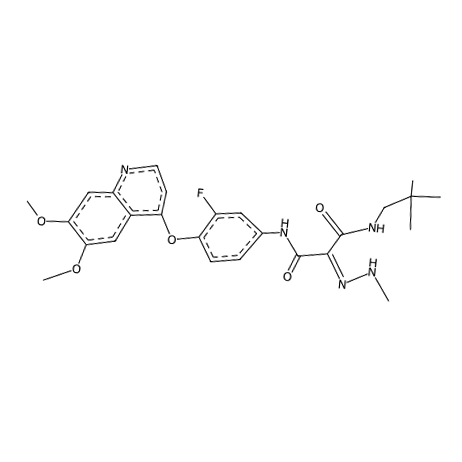 CN/N=C(\C(=O)NCC(C)(C)C)C(=O)Nc1ccc(Oc2ccnc3cc(OC)c(OC)cc23)c(F)c1